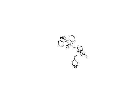 C[N+]1(CCCc2ccncc2)CCCC1COC(=O)C(O)(c1ccccc1)C1CCCCC1